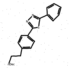 CCCCCCCCCCCCc1ccc(-c2nnc(-c3ccccc3)s2)cc1